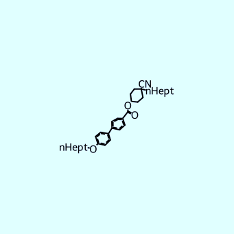 CCCCCCCOc1ccc(-c2ccc(C(=O)OC3CCC(C#N)(CCCCCCC)CC3)cc2)cc1